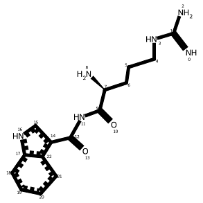 N=C(N)NCCC[C@H](N)C(=O)NC(=O)c1c[nH]c2ccccc12